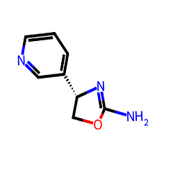 NC1=N[C@@H](c2cccnc2)CO1